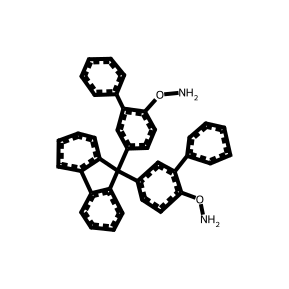 NOc1ccc(C2(c3ccc(ON)c(-c4ccccc4)c3)c3ccccc3-c3ccccc32)cc1-c1ccccc1